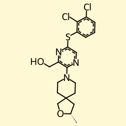 C[C@H]1CC2(CCN(c3ncc(Sc4cccc(Cl)c4Cl)nc3CO)CC2)CO1